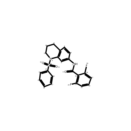 O=C(Nc1ccc2c(c1)N(S(=O)(=O)c1ccccc1)CCC2)c1c(F)cccc1F